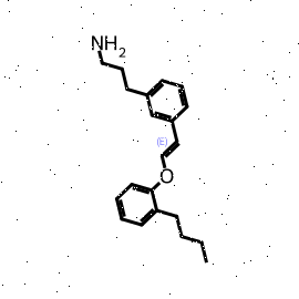 CCCCc1ccccc1O/C=C/c1cccc(CCCN)c1